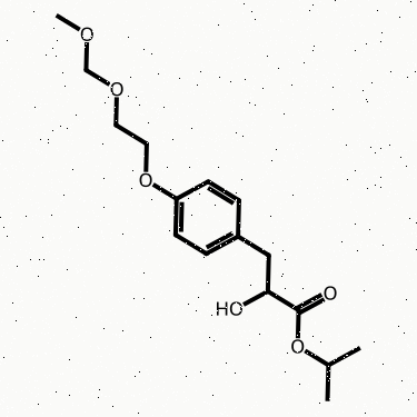 COCOCCOc1ccc(CC(O)C(=O)OC(C)C)cc1